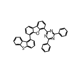 c1ccc(-c2nc(-c3ccccc3)nc(-c3cccc4c3oc3c(-c5cccc6sc7ccccc7c56)cccc34)n2)cc1